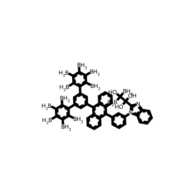 Bc1c(B)c(B)c(-c2cc(-c3c(B)c(B)c(B)c(B)c3B)cc(-c3c4ccccc4c(-c4cccc(-n5c(C(O)(O)C(B)(B)O)nc6ccccc65)c4)c4ccccc34)c2)c(B)c1B